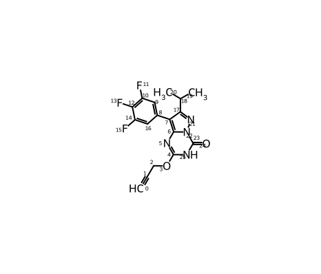 C#CCOc1nc2c(-c3cc(F)c(F)c(F)c3)c(C(C)C)nn2c(=O)[nH]1